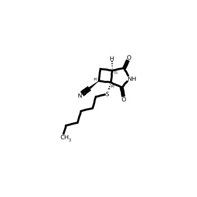 CCCCCCS[C@@]12C(=O)NC(=O)[C@@H]1C[C@@H]2C#N